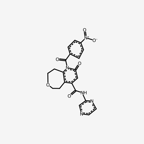 O=C(Nc1cnccn1)c1cc(=O)n(C(=O)c2ccc([N+](=O)[O-])cc2)c2c1CCOCC2